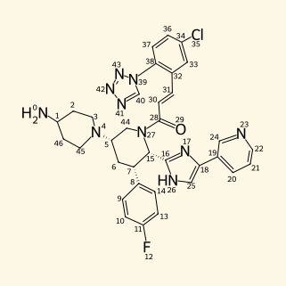 NC1CCN([C@H]2C[C@@H](c3ccc(F)cc3)[C@@H](c3nc(-c4cccnc4)c[nH]3)N(C(=O)C=Cc3cc(Cl)ccc3-n3cnnn3)C2)CC1